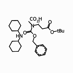 C1CCC(NC2CCCCC2)CC1.CN(C(=O)OCc1ccccc1)[C@@H](CC(=O)OC(C)(C)C)C(=O)O